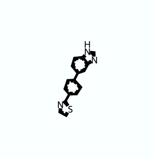 c1csc(-c2ccc(-c3ccc4[nH]cnc4c3)cc2)n1